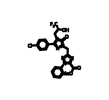 COC(=O)c1nc(Cn2nc(-c3ccc(Cl)cc3)n(C[C@H](O)C(F)(F)F)c2=O)nn1-c1ccccc1